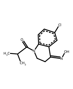 CC(C)C(=O)N1CC/C(=N/O)c2cc(Cl)ccc21